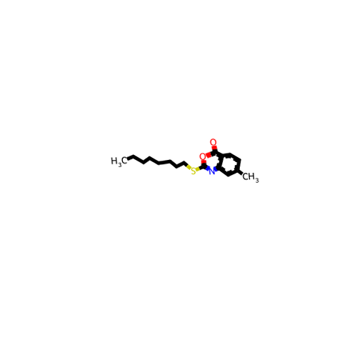 CCCCCCCCSc1nc2cc(C)ccc2c(=O)o1